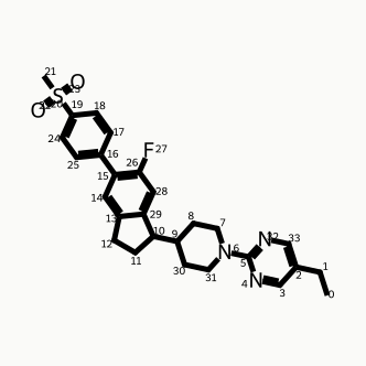 CCc1cnc(N2CCC(C3CCc4cc(-c5ccc(S(C)(=O)=O)cc5)c(F)cc43)CC2)nc1